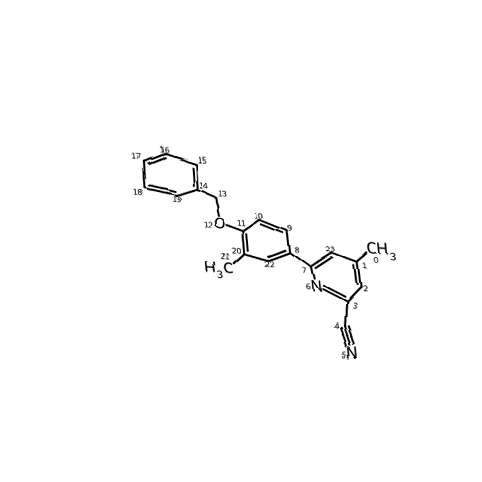 Cc1cc(C#N)nc(-c2ccc(OCc3ccccc3)c(C)c2)c1